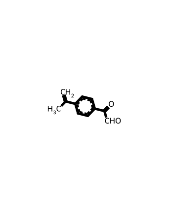 C=C(C)c1ccc(C(=O)C=O)cc1